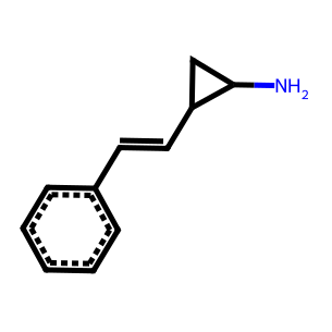 NC1CC1/C=C/c1ccccc1